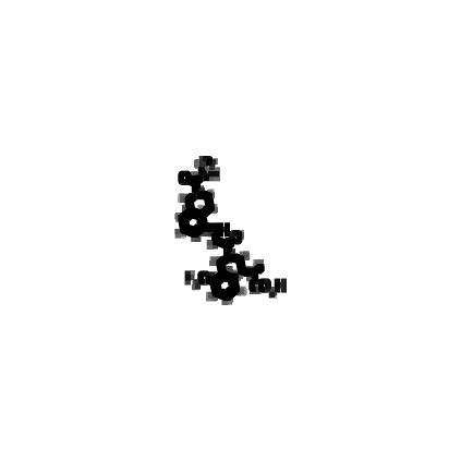 CC(C)NC(=O)N1CCc2c(cccc2NCC(=O)N(CCN(C)C(=O)O)Cc2ccccc2C(F)(F)F)C1